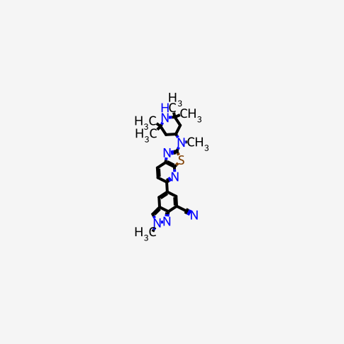 CN(c1nc2ccc(-c3cc(C#N)c4nn(C)cc4c3)nc2s1)C1CC(C)(C)NC(C)(C)C1